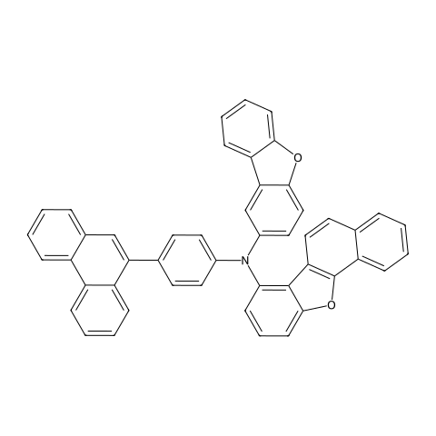 c1ccc2c(c1)cc(-c1ccc(N(c3ccc4oc5ccccc5c4c3)c3cccc4oc5c6ccccc6ccc5c34)cc1)c1ccccc12